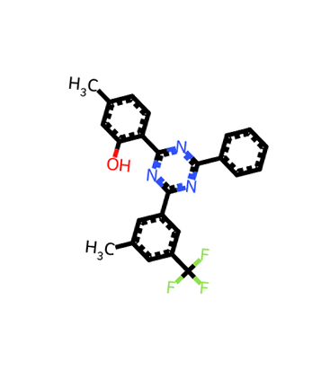 Cc1cc(-c2nc(-c3ccccc3)nc(-c3ccc(C)cc3O)n2)cc(C(F)(F)F)c1